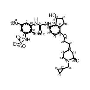 CCS(=O)(=O)Nc1cc(C(C)(C)C)cc(NC(=O)Nc2ccc(OCCN3CCN(CC4CC4)C(=O)C3)c3c2C(O)CC3)c1OC